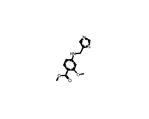 COC(=O)c1ccc(NCc2cncs2)cc1OC